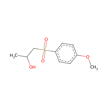 COc1ccc(S(=O)(=O)CC(C)O)cc1